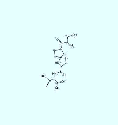 C[C@@H](O)[C@H](NC(=O)C1CSC2(CCN(C(=O)C(N)CO)C2)N1)C(N)=O